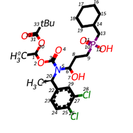 CC(OC(=O)N(C(O)CCP(=O)(O)CC1CCCCC1)[C@H](C)c1ccc(Cl)c(Cl)c1)OC(=O)C(C)(C)C